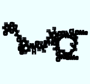 COc1cc2cc(c1Cl)N(C)C(=O)C[C@H](OC(=O)[C@H](C)N(C)C(=O)CCSSC(C)(C)CC(=O)N/N=C1\CCS(=O)(=O)c3cc(OCCCC(=O)ON4C(=O)CCC4=O)ccc31)C(C)(O)C[C@H](C)[C@@H]1C[C@@](O)(NC(=O)O1)[C@H](OC)/C=C/C=C(\C)C2